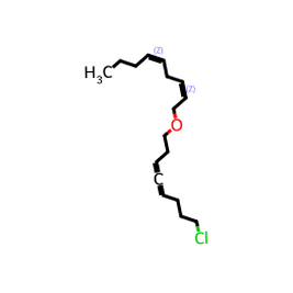 CCC/C=C\C/C=C\COCCC=C=CCCCCl